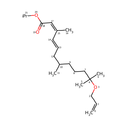 C=CCOC(C)(C)CCCC(C)CC=CC(C)=CC(=O)OC(C)C